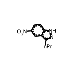 CCCc1n[nH]c2ccc([N+](=O)[O-])cc12